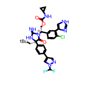 CC(C)(C)C[C@]1(c2ccc(-c3cnn(C(F)F)c3)cc2)NC(=N)N([C@H](COC(=O)NC2CC2)c2ccc(Cl)c(-c3c[nH]cn3)c2)C1=O